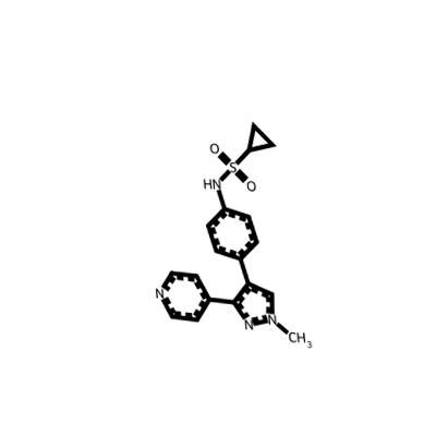 Cn1cc(-c2ccc(NS(=O)(=O)C3CC3)cc2)c(-c2ccncc2)n1